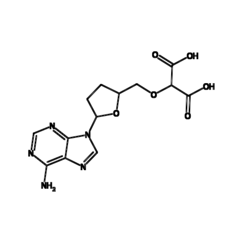 Nc1ncnc2c1ncn2C1CCC(COC(C(=O)O)C(=O)O)O1